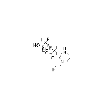 FCCN1CCCNCC1.O=C(O)C(F)(F)F.O=C(O)C(F)(F)F